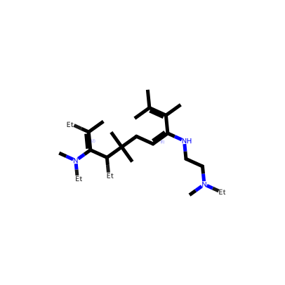 CC/C(C)=C(/C(CC)C(C)(C)C/C=C(/NCCN(C)CC)C(C)=C(C)C)N(C)CC